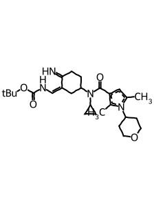 Cc1cc(C(=O)N(C2CC2)C2CCC(=N)/C(=C\NC(=O)OC(C)(C)C)C2)c(C)n1C1CCOCC1